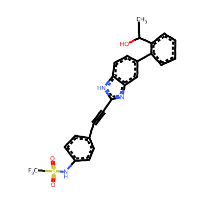 CC(O)c1ccccc1-c1ccc2[nH]c(C#Cc3ccc(NS(=O)(=O)C(F)(F)F)cc3)nc2c1